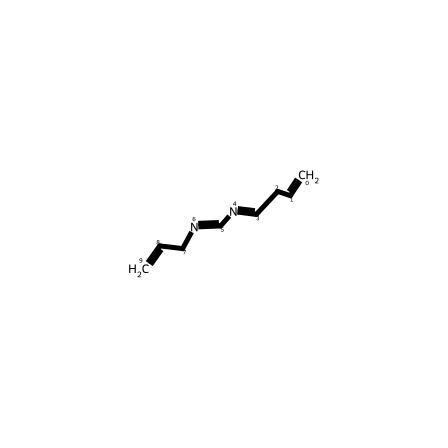 C=CCC=NC=NCC=C